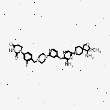 C[C@@H]1OCC2(CCN(c3cnc(Sc4ccnc(N5CCN(Cc6ccc(N7CCC(=O)NC7=O)cc6F)CC5)c4)c(N)n3)CC2)[C@@H]1N